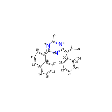 C/C=C(/c1nc(C)nc(-c2cccc3ccccc23)n1)c1ccccc1C